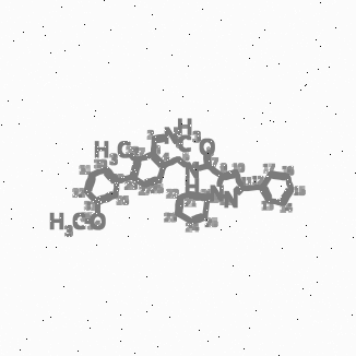 C/N=C\c1c(CNC(=O)c2cc(-c3ccccc3)nn2-c2ccccc2)ccc(-c2cccc(OC)c2)c1C